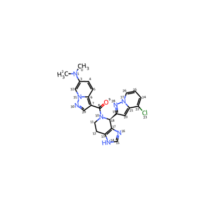 CN(C)c1ccc2c(C(=O)N3CCc4[nH]cnc4[C@@H]3c3cc4c(Cl)cccn4n3)cnn2c1